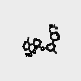 Cc1cc(Oc2cccc(-c3c(C)cccc3C(=O)O)n2)cc(-c2cccc(CN)c2)c1